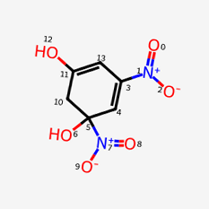 O=[N+]([O-])C1=CC(O)([N+](=O)[O-])CC(O)=C1